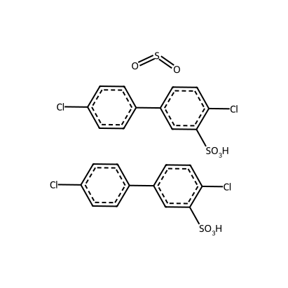 O=S(=O)(O)c1cc(-c2ccc(Cl)cc2)ccc1Cl.O=S(=O)(O)c1cc(-c2ccc(Cl)cc2)ccc1Cl.O=S=O